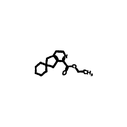 CCOC(=O)c1nccc2c1CC1(CCCCC1)C2